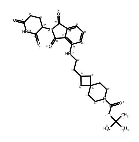 CC(C)(C)OC(=O)N1CCC2(CC1)CC(CCNc1cccc3c1C(=O)N(C1CCC(=O)NC1=O)C3=O)C2